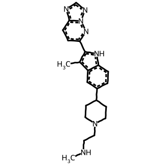 CNCCN1CCC(c2ccc3[nH]c(-c4ccc5ncnn5n4)c(C)c3c2)CC1